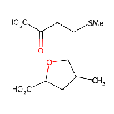 CC1COC(C(=O)O)C1.CSCCC(=O)C(=O)O